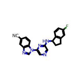 N#Cc1ccc2c(c1)ncn2-c1cncc(NC2CCc3cc(F)ccc32)n1